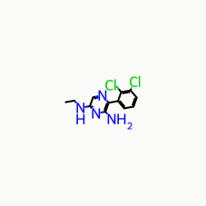 CCNc1cnc(-c2cccc(Cl)c2Cl)c(N)n1